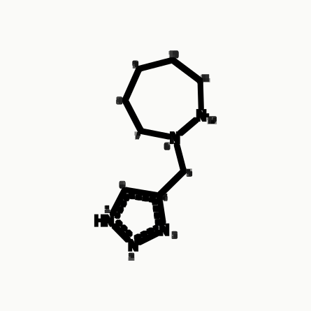 c1[nH]nnc1CN1CCCCC[N]1